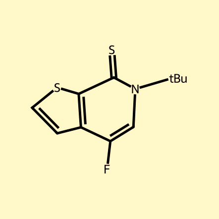 CC(C)(C)n1cc(F)c2ccsc2c1=S